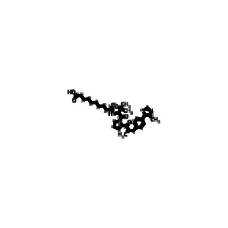 C=C(Cc1ccc(-c2scnc2C)cc1)C(=O)C1CCCN1C(=O)C(NC(=O)CCCCCCCCC(=O)O)C(C)(C)C